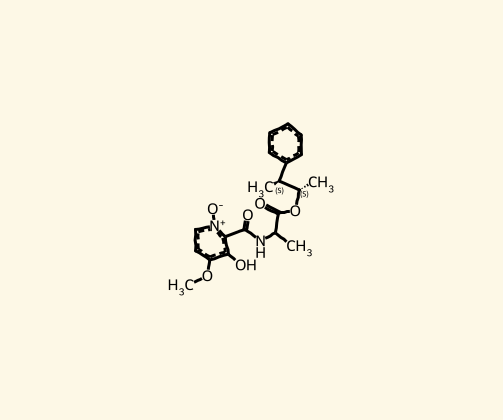 COc1cc[n+]([O-])c(C(=O)NC(C)C(=O)O[C@@H](C)[C@@H](C)c2ccccc2)c1O